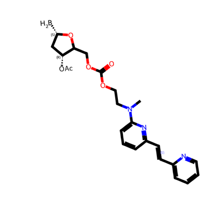 B[C@H]1C[C@@H](OC(C)=O)C(COC(=O)OCCN(C)c2cccc(/C=C/c3ccccn3)n2)O1